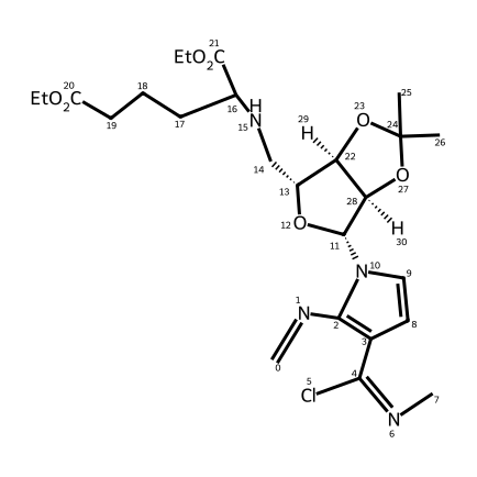 C=Nc1c(/C(Cl)=N\C)ccn1[C@@H]1O[C@H](CNC(CCCC(=O)OCC)C(=O)OCC)[C@H]2OC(C)(C)O[C@H]21